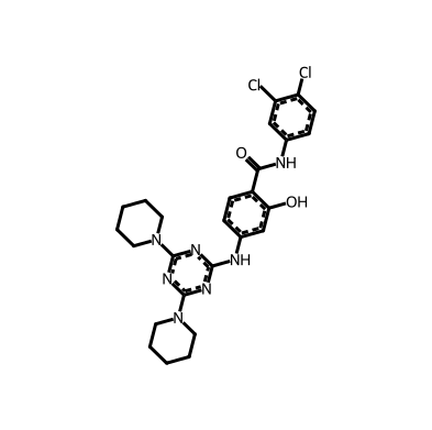 O=C(Nc1ccc(Cl)c(Cl)c1)c1ccc(Nc2nc(N3CCCCC3)nc(N3CCCCC3)n2)cc1O